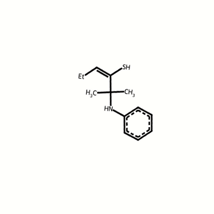 CC/C=C(/S)C(C)(C)Nc1ccccc1